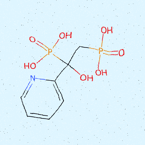 O=P(O)(O)CC(O)(c1ccccn1)P(=O)(O)O